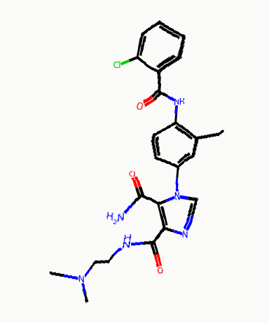 Cc1cc(-n2cnc(C(=O)NCCN(C)C)c2C(N)=O)ccc1NC(=O)c1ccccc1Cl